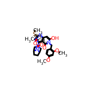 COc1ccc(Cn2c(O)cc3nc(SC)nc(N4CC5CCC(C4)N5C(=O)OC(C)(C)C)c3c2=O)c(OC)c1